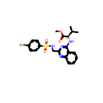 COC(=O)[C@@H](Nc1nc(CNS(=O)(=O)c2ccc(Br)cc2)nc2ccccc12)C(C)C